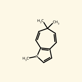 Cn1ccc2c1C=CC(C)(C)C=C2